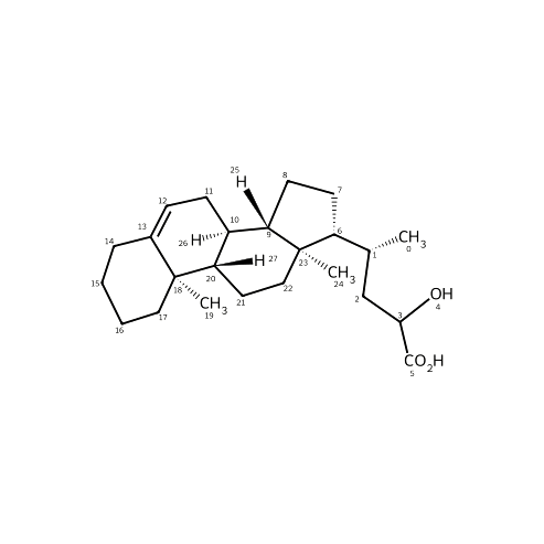 C[C@H](CC(O)C(=O)O)[C@H]1CC[C@H]2[C@@H]3CC=C4CCCC[C@]4(C)[C@H]3CC[C@]12C